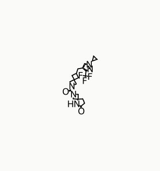 O=C1CCC2(CN(C(=O)N3CC4(CC(Cc5cn(C6CC6)nc5C(F)(F)F)C4)C3)C2)N1